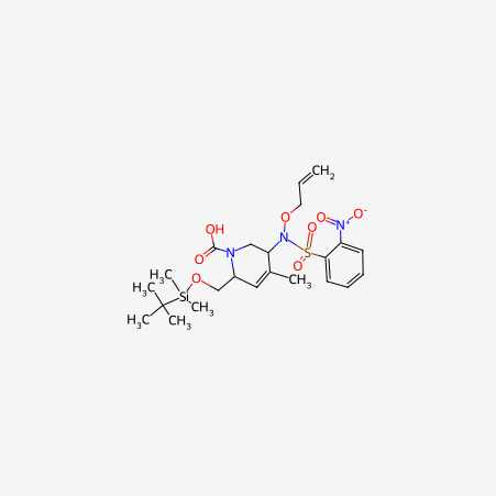 C=CCON(C1CN(C(=O)O)C(CO[Si](C)(C)C(C)(C)C)C=C1C)S(=O)(=O)c1ccccc1[N+](=O)[O-]